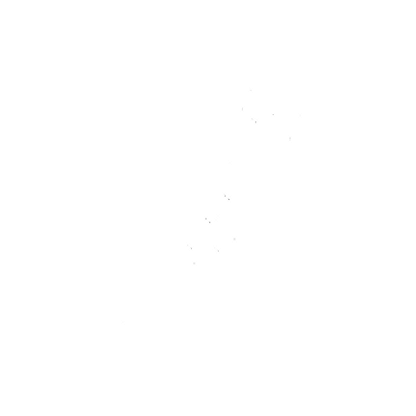 COc1cc(OC)c(-c2cn3ccc(N4CCC(CCN(C(=O)O)C(C)(C)C)CC4)nc3n2)cc1Cl